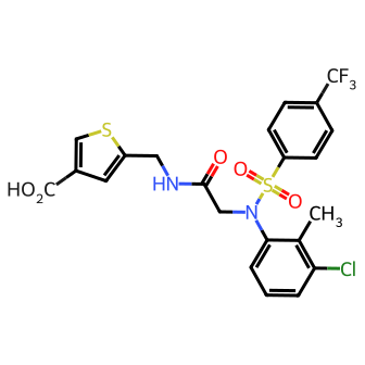 Cc1c(Cl)cccc1N(CC(=O)NCc1cc(C(=O)O)cs1)S(=O)(=O)c1ccc(C(F)(F)F)cc1